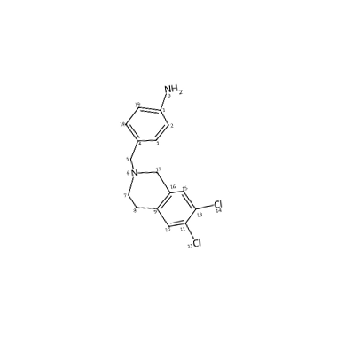 Nc1ccc(CN2CCc3cc(Cl)c(Cl)cc3C2)cc1